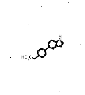 O=C(O)Cc1ccc(-c2ccc3[nH]ccc3c2)cc1